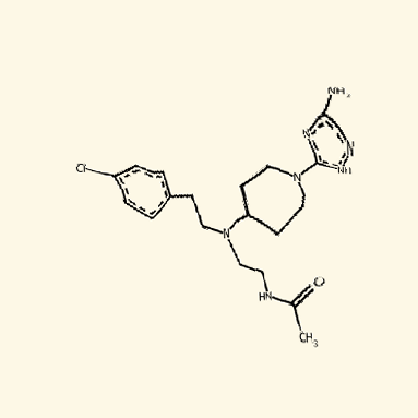 CC(=O)NCCN(CCc1ccc(Cl)cc1)C1CCN(c2nc(N)n[nH]2)CC1